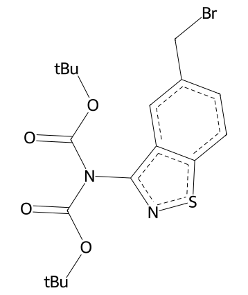 CC(C)(C)OC(=O)N(C(=O)OC(C)(C)C)c1nsc2ccc(CBr)cc12